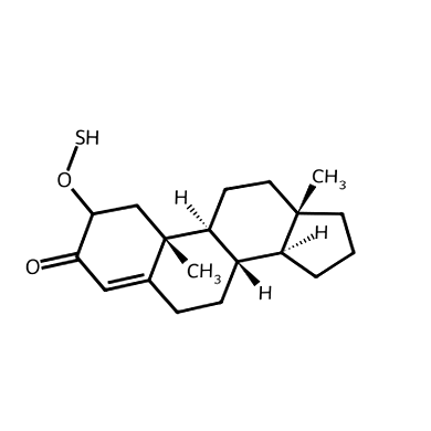 C[C@@]12CCC[C@H]1[C@@H]1CCC3=CC(=O)C(OS)C[C@]3(C)[C@H]1CC2